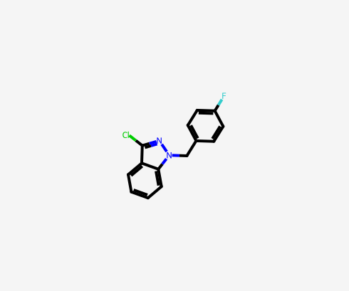 Fc1ccc(Cn2nc(Cl)c3ccccc32)cc1